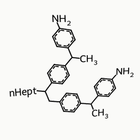 CCCCCCCC(Cc1ccc(C(C)c2ccc(N)cc2)cc1)c1ccc(C(C)c2ccc(N)cc2)cc1